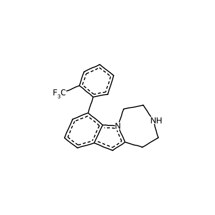 FC(F)(F)c1ccccc1-c1cccc2cc3n(c12)CCNCC3